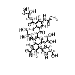 CC(=O)Nc1c(I)c(C(=O)CC(=O)N(NCC(O)CO)c2c(I)c(C(N)=O)c(I)c(C(=O)N(CC(O)CO)CC(O)CO)c2I)c(I)c(C(=O)NCC(O)CO)c1I